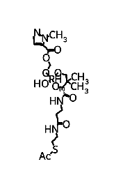 CC(=O)SCCNC(=O)CCNC(=O)[C@@H]1O[PH](O)(OCOC(=O)c2ccnn2C)OCC1(C)C